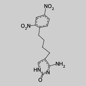 Nc1nc(=O)[nH]cc1CCCCc1ccc([N+](=O)[O-])cc1[N+](=O)[O-]